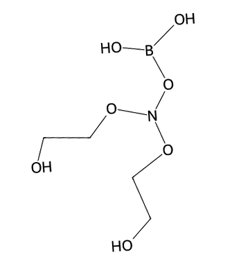 OCCON(OCCO)OB(O)O